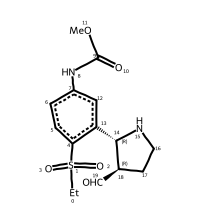 CCS(=O)(=O)c1ccc(NC(=O)OC)cc1[C@@H]1NCC[C@H]1C=O